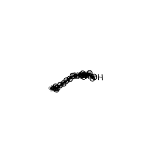 Cc1ccc(S(=O)(=O)OCCOCCOCCOCCOCCOc2ccc(C3CCN(S(=O)(=O)c4ccc(C(=O)NCC(=O)O)cc4)CC3)cc2)cc1